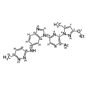 CCOc1cc(C)n(-c2nc(-n3cnc4ccc(Nc5ccc(C)nn5)cc43)ccc2C(C)=O)n1